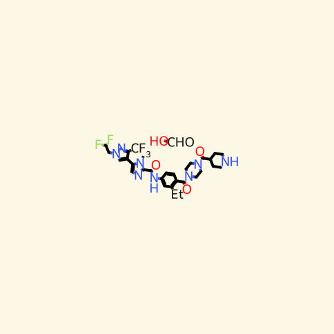 CCc1cc(NC(=O)c2ncc(-c3cn(CC(F)F)nc3C(F)(F)F)n2C)ccc1C(=O)N1CCN(C(=O)C2CCNCC2)CC1.O=CO